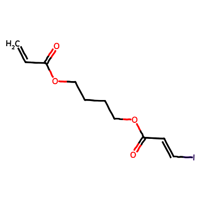 C=CC(=O)OCCCCOC(=O)/C=C/I